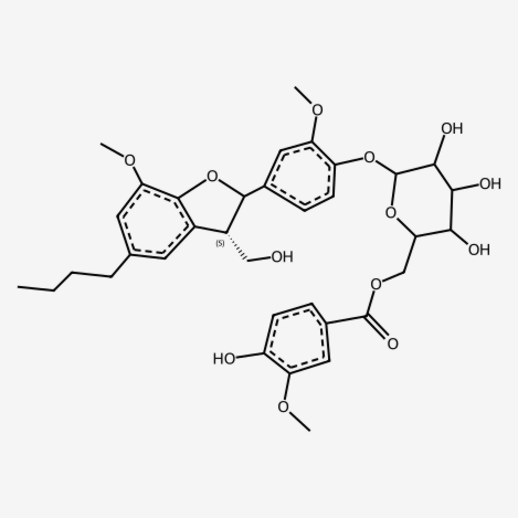 CCCCc1cc(OC)c2c(c1)[C@@H](CO)C(c1ccc(OC3OC(COC(=O)c4ccc(O)c(OC)c4)C(O)C(O)C3O)c(OC)c1)O2